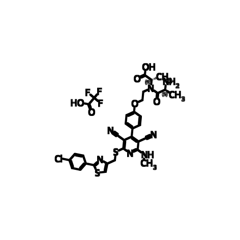 CNc1nc(SCc2csc(-c3ccc(Cl)cc3)n2)c(C#N)c(-c2ccc(OCCN(C(=O)[C@H](C)N)[C@@H](C)C(=O)O)cc2)c1C#N.O=C(O)C(F)(F)F